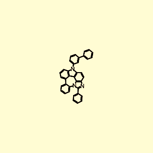 c1ccc(-c2cccc(-n3c4cccc5c6ccccc6n6c(-c7ccccc7)nc7ccc3c(c54)c76)c2)cc1